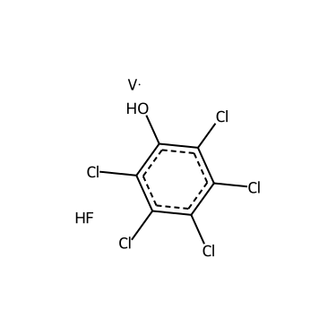 F.Oc1c(Cl)c(Cl)c(Cl)c(Cl)c1Cl.[V]